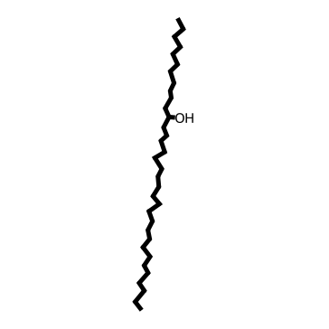 CCCCCCCCCCCCCCCCCCCCCCC(O)CCCCCCCCCCC